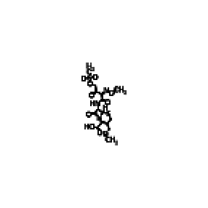 COCC1=C(C(=O)O)N2C(=O)C(NC(=O)/C(=N\OC)C(=O)COS(C)(=O)=O)[C@@H]2SC1